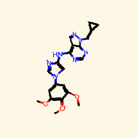 COc1cc(-n2cnc(Nc3ncnc4c3cnn4CC3CC3)c2)cc(OC)c1OC